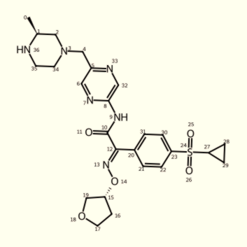 C[C@H]1CN(Cc2cnc(NC(=O)/C(=N/O[C@@H]3CCOC3)c3ccc(S(=O)(=O)C4CC4)cc3)cn2)CCN1